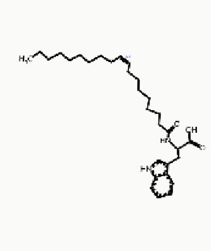 CCCCCCCCC/C=C\CCCCCCCC(=O)NC(Cc1c[nH]c2ccccc12)C(=O)O